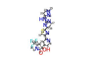 CN1C(=O)[C@](O)(c2ccnc(-c3csc(-c4ccnc(Nc5ccn(C)n5)n4)n3)c2)C[C@H]1C(F)(F)F